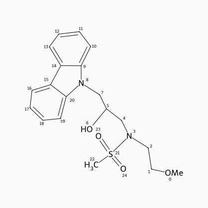 COCCN(CC(O)Cn1c2ccccc2c2ccccc21)S(C)(=O)=O